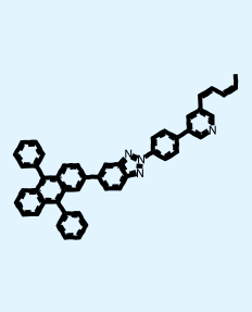 C/C=C\C=C/c1cncc(-c2ccc(-n3nc4ccc(-c5ccc6c(-c7ccccc7)c7ccccc7c(-c7ccccc7)c6c5)cc4n3)cc2)c1